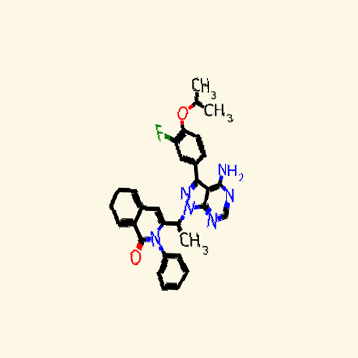 CC(C)Oc1ccc(-c2nn(C(C)c3cc4c(c(=O)n3-c3ccccc3)=CCCC=4)c3ncnc(N)c23)cc1F